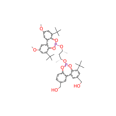 COc1cc(C(C)(C)C)c2op(O[C@H](C)C[C@@H](C)Op3oc4ccc(CO)cc4c4cc(CO)cc(C(C)(C)C)c4o3)oc3c(C(C)(C)C)cc(OC)cc3c2c1